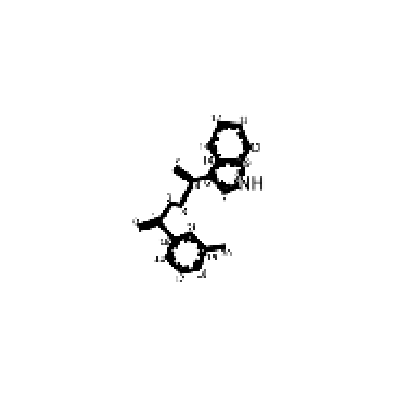 C=C(CCC(=C)c1c[nH]c2ccccc12)c1cccc(C)c1